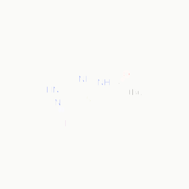 C=C1CN/N=C(/I)CSC(NCC(=O)C(C)(C)C)N1